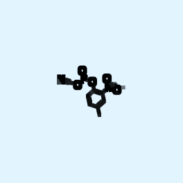 Cc1ccc(O[P](=O)OC#N)c([N+](=O)[O-])c1